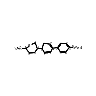 CCCCCCCCCCC1CCC(C2C=CC(c3ccc(CCCCC)cc3)=CC2)CC1